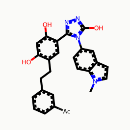 CC(=O)c1cccc(CCc2cc(-c3nnc(O)n3-c3ccc4c(ccn4C)c3)c(O)cc2O)c1